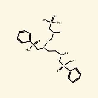 CCN(CCN(CCN(C)CP(=O)(O)O)CP(=O)(O)c1ccccc1)CP(=O)(O)c1ccccc1